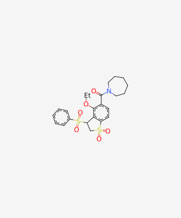 CCOc1c(C(=O)N2CCCCCC2)ccc2c1C(S(=O)(=O)c1ccccc1)CS2(=O)=O